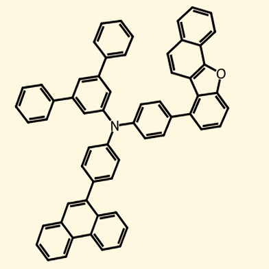 c1ccc(-c2cc(-c3ccccc3)cc(N(c3ccc(-c4cc5ccccc5c5ccccc45)cc3)c3ccc(-c4cccc5oc6c7ccccc7ccc6c45)cc3)c2)cc1